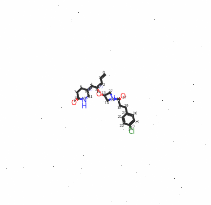 C=C/C=C(\C=C1\CCC(=O)NC1)OC1CN(C(=O)CCc2ccc(Cl)cc2)C1